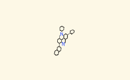 c1ccc(-c2cc3c4c(cnc5c(-c6ccc7ccccc7c6)ccc(c54)CN3c3ccccc3)c2)cc1